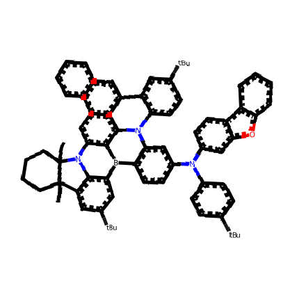 CC(C)(C)c1ccc(N(c2ccc3c(c2)N(c2ccc(C(C)(C)C)cc2-c2ccccc2)c2cc(-c4ccccc4)cc4c2B3c2cc(C(C)(C)C)cc3c2N4C2(C)CCCCC32C)c2ccc3c(c2)oc2ccccc23)cc1